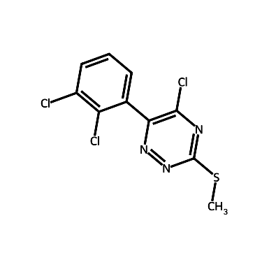 CSc1nnc(-c2cccc(Cl)c2Cl)c(Cl)n1